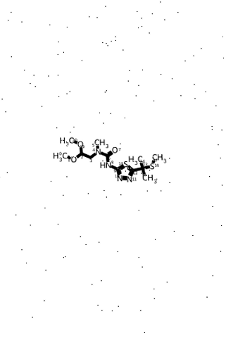 COC(CN(C)C(=O)Nc1nnc(C(C)(C)SC)s1)OC